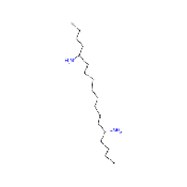 CCCCC(N)CCCCCCCCC(N)CCCC